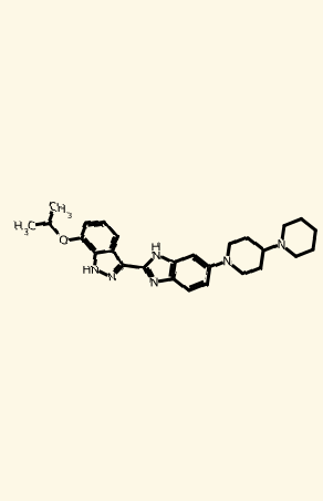 CC(C)Oc1cccc2c(-c3nc4ccc(N5CCC(N6CCCCC6)CC5)cc4[nH]3)n[nH]c12